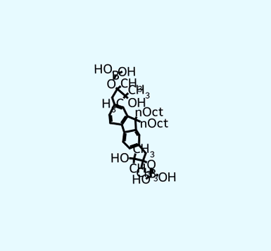 CCCCCCCCC1(CCCCCCCC)c2cc(CC(C)(OB(O)O)C(C)(C)O)ccc2-c2ccc(CC(C)(OB(O)O)C(C)(C)O)cc21